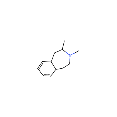 CC1CC2C=CC=CC2CCN1C